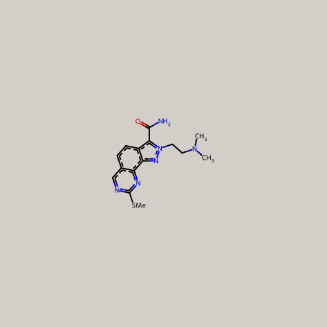 CSc1ncc2ccc3c(C(N)=O)n(CCN(C)C)nc3c2n1